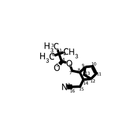 CC(C)(C)C(=O)OCC1C2C=CC(C2)C1CC#N